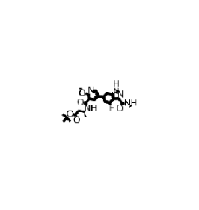 CNC(=O)c1n[nH]c2cc(-c3cnc(OC)c(C(=O)N[C@@H](C)CC(=O)OC(C)(C)C)c3)cc(F)c12